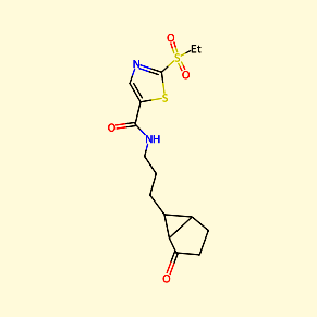 CCS(=O)(=O)c1ncc(C(=O)NCCCC2C3CCC(=O)C23)s1